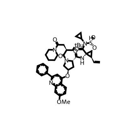 C=C[C@@H]1C[C@]1(NC(=O)[C@@H]1C[C@@H](Oc2cc(-c3ccccc3)nc3cc(OC)ccc23)CN1C(=O)[C@@H](CC(=O)N1CCCCC1)CC(C)(C)C)C(=O)N(C1CC1)[SH](=O)=O